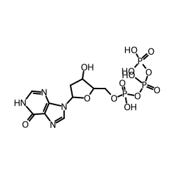 O=c1[nH]cnc2c1ncn2C1CC(O)C(COP(=O)(O)OP(=O)(O)OP(=O)(O)O)O1